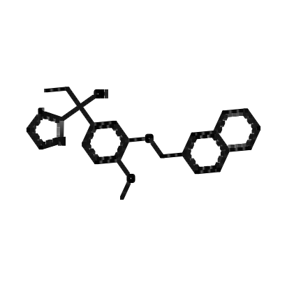 CCC(O)(c1ccc(OC)c(OCc2ccc3ccccc3c2)c1)c1nccs1